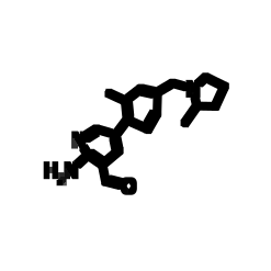 Cc1cc(CN2CCCC2C)ccc1-c1cnc(N)c(C=O)c1